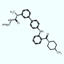 CCCCCCCNC(=O)N(C)c1cccc(-c2ccc(Nc3ccccc3C(=O)N3CCC(C)CC3)cc2)c1